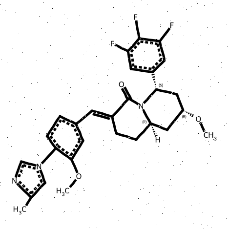 COc1cc(C=C2CC[C@@H]3C[C@@H](OC)C[C@@H](c4cc(F)c(F)c(F)c4)N3C2=O)ccc1-n1cnc(C)c1